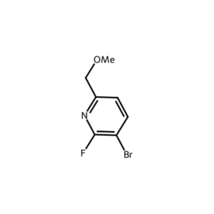 COCc1ccc(Br)c(F)n1